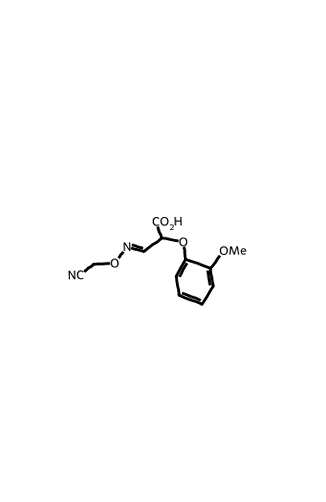 COc1ccccc1OC(C=NOCC#N)C(=O)O